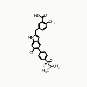 Cc1ccc(Cc2cc3cc(-c4ccc(S(=O)(=O)N(C)C)cc4)c(Cl)cc3[nH]2)cc1C(=O)O